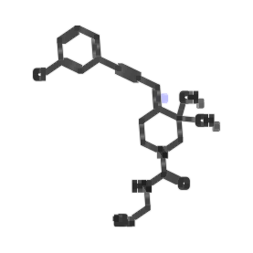 CC(C)(C)CNC(=O)N1CC/C(=C\C#Cc2cccc(Cl)c2)C(C)(C)C1